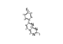 Cc1ncc2ccc(-c3ccc(F)cc3)nc2n1